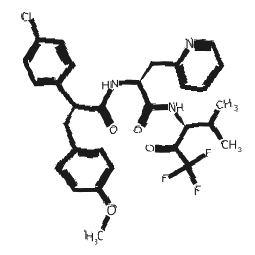 COc1ccc(C[C@H](C(=O)N[C@@H](Cc2ccccn2)C(=O)N[C@H](C(=O)C(F)(F)F)C(C)C)c2ccc(Cl)cc2)cc1